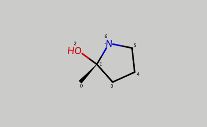 C[C@]1(O)CCC[N]1